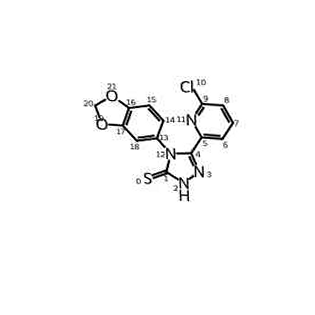 S=c1[nH]nc(-c2cccc(Cl)n2)n1-c1ccc2c(c1)OCO2